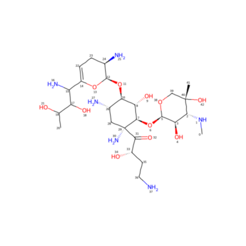 CN[C@@H]1[C@@H](O)[C@@H](O[C@@H]2[C@@H](O)[C@H](O[C@H]3OC(C(N)C(O)C(C)O)=CC[C@H]3N)[C@@H](N)C[C@]2(N)C(=O)[C@@H](O)CCN)OC[C@]1(C)O